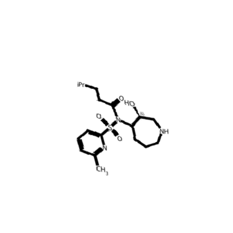 Cc1cccc(S(=O)(=O)N(C(=O)[CH]CC(C)C)C2CCCNC[C@@H]2O)n1